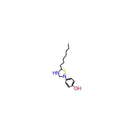 CCCCCCCC1NCN(c2ccc(O)cc2)S1